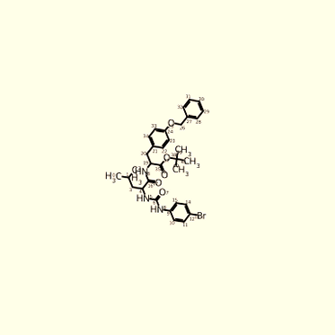 CC(C)CC(NC(=O)Nc1ccc(Br)cc1)C(=O)NC(Cc1ccc(OCc2ccccc2)cc1)C(=O)OC(C)(C)C